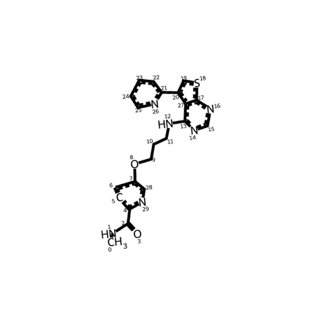 CNC(=O)c1ccc(OCCCNc2ncnc3scc(-c4ccccn4)c23)cn1